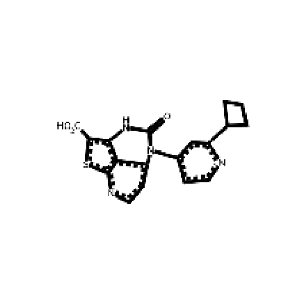 O=C(O)c1sc2nccc3c2c1NC(=O)N3c1ccnc(C2CCC2)c1